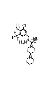 Cl.Cl.Nc1c(Cl)cc(C[C@@H](N)C(=O)N2CCC(N3CCCCC3)CC2)cc1C(F)(F)F